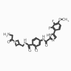 COc1ccc(-c2cnc(C(=O)Nc3ccc(C(=O)NCC4CN(C(=O)CN)C4)c(Cl)c3)[nH]2)c(F)c1F